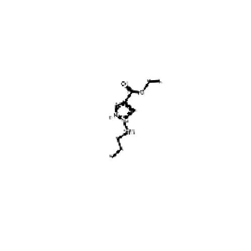 CCCNn1cc(C(=O)OCC)cn1